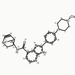 CN1CCN(c2ccc(-c3nc4c(C(=O)NC5CN6C#CC5CC6)ccnc4[nH]3)cc2)CC1